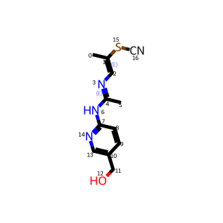 C/C(=C\N=C(/C)Nc1ccc(CO)cn1)SC#N